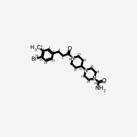 Cc1cc(C[CH]C(=O)N2CCC(N3CCN(C(N)=O)CC3)CC2)ccc1Br